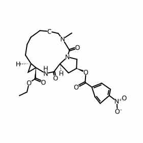 CCOC(=O)[C@@]12C[C@H]1CCCCCCN(C)C(=O)N1C[C@@H](OC(=O)c3ccc([N+](=O)[O-])cc3)C[C@H]1C(=O)N2